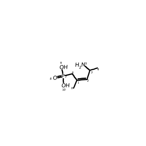 CC(=CC(C)N)CP(=O)(O)O